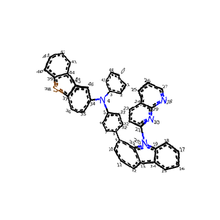 c1ccc(N(c2ccc(-c3cccc4c5ccccc5n(-c5ccc6cccnc6n5)c34)cc2)c2ccc3sc4ccccc4c3c2)cc1